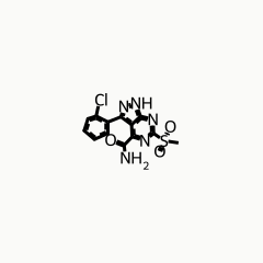 CS(=O)(=O)c1nc(C(N)=O)c2c(-c3ccccc3Cl)n[nH]c2n1